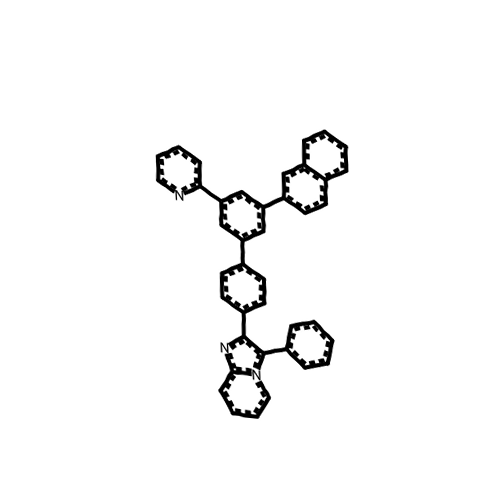 c1ccc(-c2c(-c3ccc(-c4cc(-c5ccc6ccccc6c5)cc(-c5ccccn5)c4)cc3)nc3ccccn23)cc1